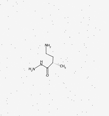 C[C@@H](CCN)C(=O)NN